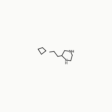 C1CCC1.CCCC1CNCCN1